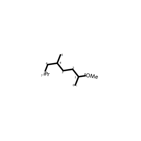 [CH2]C(CCC(C)CC(C)C)OC